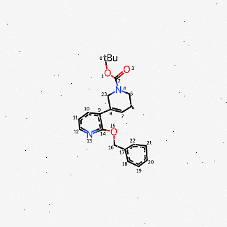 CC(C)(C)OC(=O)N1CCC=C(c2cccnc2OCc2ccccc2)C1